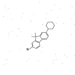 CC1(C)c2cc(Br)ccc2-c2ccc(C3CCCCC3)cc21